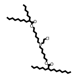 CCCCCCCCC(CCCCCC)C(=O)OCCCCCCN(CCCl)CCCCCCOC(=O)C(CCCCCC)CCCCCCCC